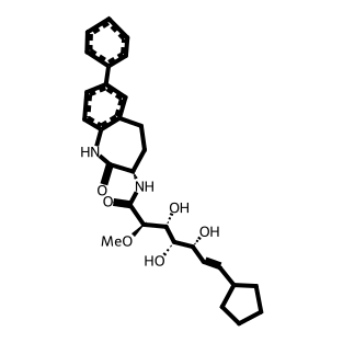 CO[C@@H](C(=O)N[C@H]1CCc2cc(-c3ccccc3)ccc2NC1=O)[C@H](O)[C@@H](O)[C@H](O)C=CC1CCCC1